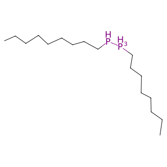 CCCCCCCCCP[PH3]CCCCCCCC